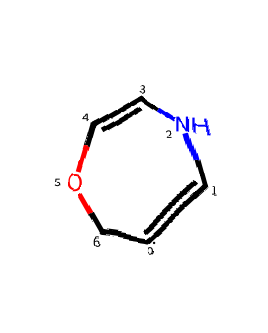 [C]1=CNC=COC1